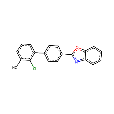 N#Cc1cccc(-c2ccc(-c3nc4ccccc4o3)cc2)c1Cl